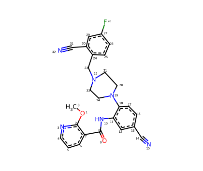 COc1ncccc1C(=O)Nc1cc(C#N)ccc1N1CCN(Cc2ccc(F)cc2C#N)CC1